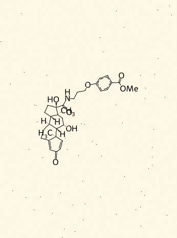 COC(=O)c1ccc(OCCCNC(=O)[C@@]2(O)CC[C@H]3[C@@H]4CCC5=CC(=O)C=C[C@]5(C)[C@H]4[C@@H](O)C[C@@]32C)cc1